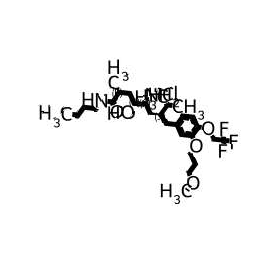 CCCCNC(=O)[C@H](C)C[C@H](O)[C@@H](N)C[C@H](Cc1ccc(OCC(F)(F)F)c(OCCCOC)c1)C(C)C.Cl